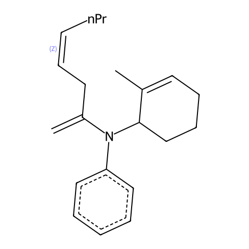 C=C(C/C=C\CCC)N(c1ccccc1)C1CCCC=C1C